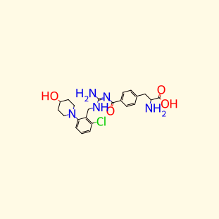 NC(=NC(=O)c1ccc(CC(N)C(=O)O)cc1)NCc1c(Cl)cccc1N1CCC(O)CC1